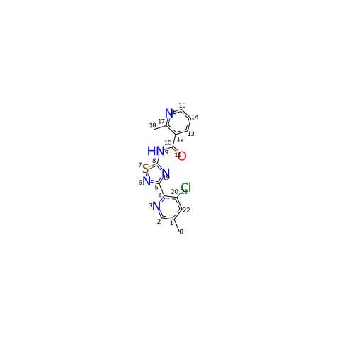 Cc1cnc(-c2nsc(NC(=O)c3cccnc3C)n2)c(Cl)c1